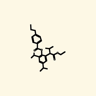 CCCc1ccc(C(=O)Oc2c(C(C)C)cc(C(C)C)cc2C(C(=O)OCC)C(C)C)cc1